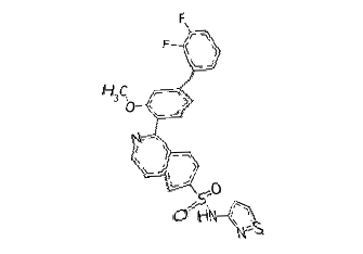 COc1cc(-c2cccc(F)c2F)ccc1-c1nccc2cc(S(=O)(=O)Nc3ccsn3)ccc12